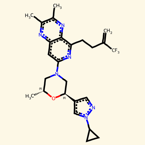 C=C(CCc1nc(N2C[C@@H](C)O[C@H](c3cnn(C4CC4)c3)C2)cc2nc(C)c(C)nc12)C(F)(F)F